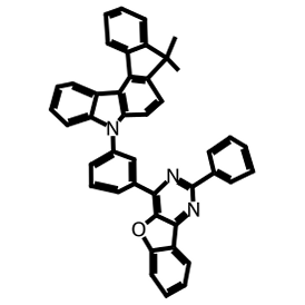 CC1(C)c2ccccc2-c2c1ccc1c2c2ccccc2n1-c1cccc(-c2nc(-c3ccccc3)nc3c2oc2ccccc23)c1